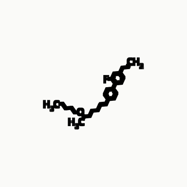 C=CCc1ccc(-c2ccc(C=CCCCC(C)OCCCCC)cc2)c(F)c1